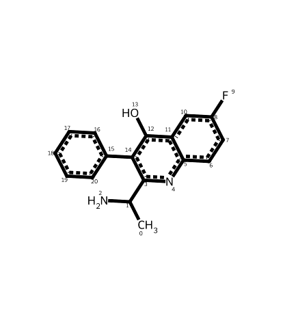 CC(N)c1nc2ccc(F)cc2c(O)c1-c1ccccc1